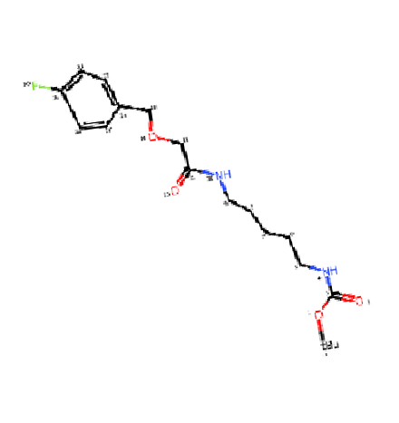 CC(C)(C)OC(=O)NCCCCCNC(=O)COCc1ccc(F)cc1